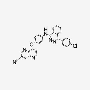 N#Cc1cnc2c(Oc3ccc(Nc4nnc(-c5ccc(Cl)cc5)c5ccccc45)cc3)ccnc2c1